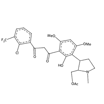 COc1cc(OC)c(C2CCN(C)C2COC(C)=O)c(O)c1C(=O)CC(=O)c1cccc(C(F)(F)F)c1Cl